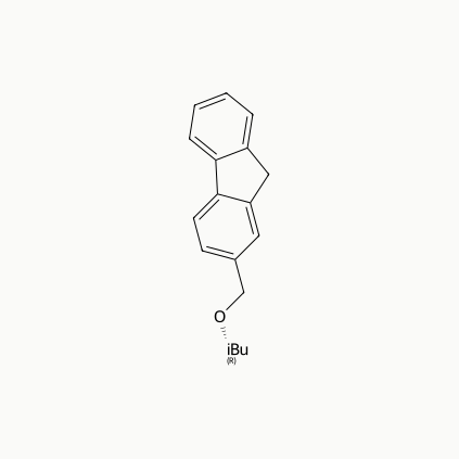 CC[C@@H](C)OCc1ccc2c(c1)Cc1ccccc1-2